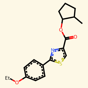 CCOc1ccc(-c2nc(C(=O)OC3CCCC3C)cs2)cc1